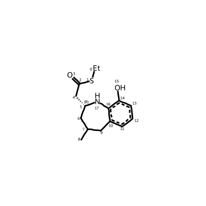 CCSC(=O)C[C@H]1CC(C)Cc2cccc(O)c2N1